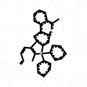 C=C/C=C\C1=C(C)[Si](c2ccccc2)(c2ccccc2)c2cc3cc(C)c4ccccc4c3cc21